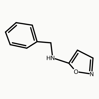 c1ccc(CNc2ccno2)cc1